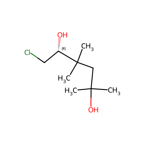 CC(C)(O)CC(C)(C)[C@@H](O)CCl